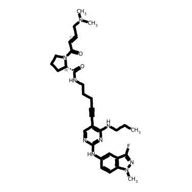 CCCNc1nc(Nc2ccc3c(c2)c(F)nn3C)ncc1C#CCCCNC(=O)[C@@H]1CCCN1C(=O)/C=C/CN(C)C